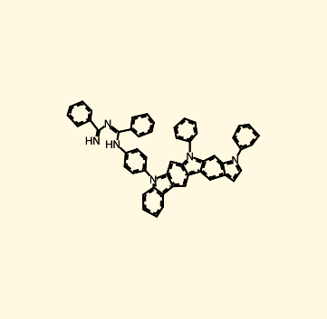 N=C(/N=C(\Nc1ccc(-n2c3ccccc3c3cc4c5cc6ccn(-c7ccccc7)c6cc5n(-c5ccccc5)c4cc32)cc1)c1ccccc1)c1ccccc1